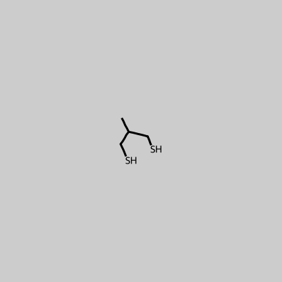 CC(CS)CS